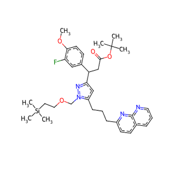 COc1ccc(C(CC(=O)OC(C)(C)C)c2cc(CCCc3ccc4cccnc4n3)n(COCC[Si](C)(C)C)n2)cc1F